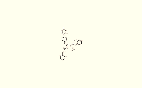 Cc1ccc(-c2ccc(C[C@@H](C[C@H](O[Si](C)(C)C(C)(C)C)[C@H](Cc3ccccc3)NC(=O)O)NC(=O)OCc3ccccc3)cc2)nc1